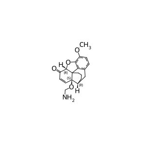 COc1ccc2c3c1O[C@H]1C(=O)C=C[C@@]4(OCN)[C@H](CCCC314)C2